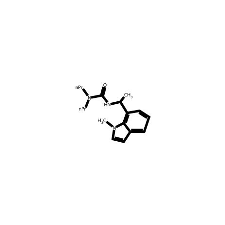 CCCN(CCC)C(=O)NC(C)c1cccc2ccn(C)c12